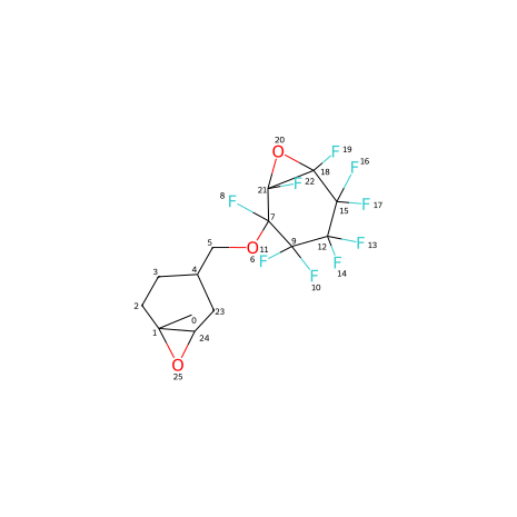 CC12CCC(COC3(F)C(F)(F)C(F)(F)C(F)(F)C4(F)OC34F)CC1O2